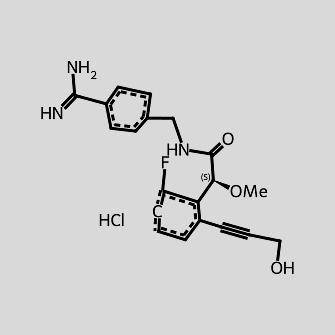 CO[C@H](C(=O)NCc1ccc(C(=N)N)cc1)c1c(F)cccc1C#CCO.Cl